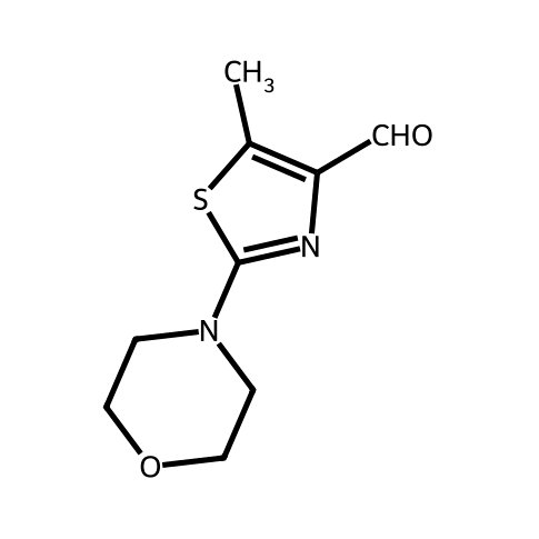 Cc1sc(N2CCOCC2)nc1C=O